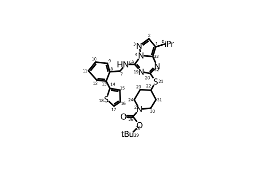 CC(C)c1cnn2c(NCc3ccccc3-c3cccs3)nc(SC3CCN(C(=O)OC(C)(C)C)CC3)nc12